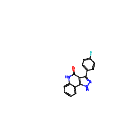 O=c1[nH]c2ccccc2c2[nH]nc(-c3ccc(F)cc3)c12